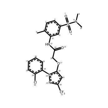 Cc1ccc(S(=O)(=O)N(C)C)cc1NC(=O)COc1cc(C(F)(F)F)nn1-c1ccccc1Cl